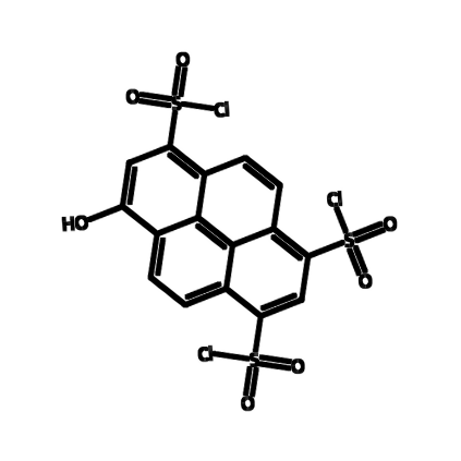 O=S(=O)(Cl)c1cc(O)c2ccc3c(S(=O)(=O)Cl)cc(S(=O)(=O)Cl)c4ccc1c2c34